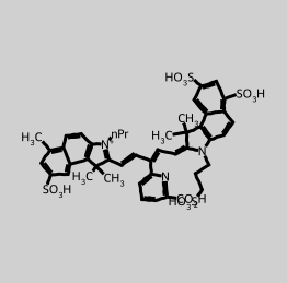 CCC[N+]1=C(/C=C/C(=C/C=C2/N(CCCS(=O)(=O)O)c3ccc4c(S(=O)(=O)O)cc(S(=O)(=O)O)cc4c3C2(C)C)c2cccc(C(=O)O)n2)C(C)(C)c2c1ccc1c(C)cc(S(=O)(=O)O)cc21